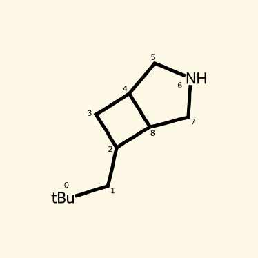 CC(C)(C)CC1CC2CNCC21